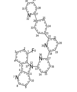 Fc1cccc2c3ncccc3n(-c3cccc(-c4cccc(-c5ccc(-c6ccccn6)cc5)n4)n3)c12